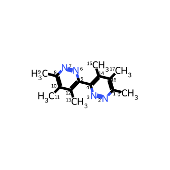 Cc1nnc(-c2nnc(C)c(C)c2C)c(C)c1C